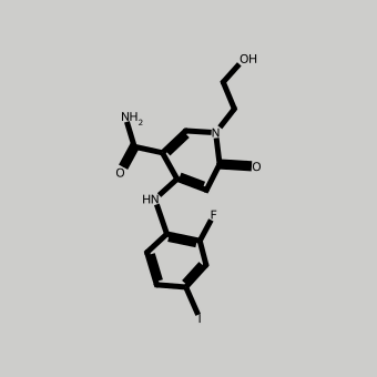 NC(=O)c1cn(CCO)c(=O)cc1Nc1ccc(I)cc1F